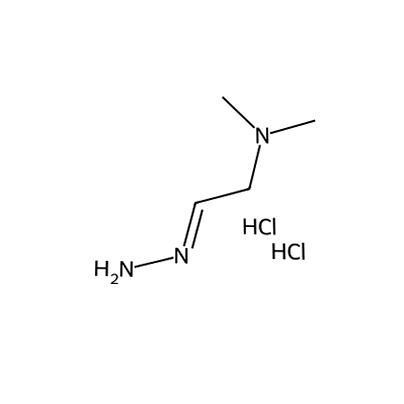 CN(C)CC=NN.Cl.Cl